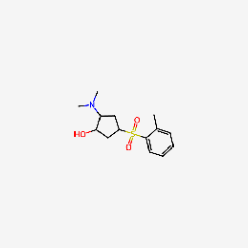 Cc1ccccc1S(=O)(=O)C1CC(O)C(N(C)C)C1